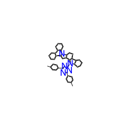 Cc1ccc(-c2nc(-c3ccc(C)cc3)nc(-n3c4ccccc4c4ccc5c(cc6c7ccccc7c7ccccc7n65)c43)n2)cc1